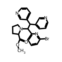 COC(=O)C1CCCN1C(c1cccc(Br)n1)C(c1cccnc1)c1cccnc1